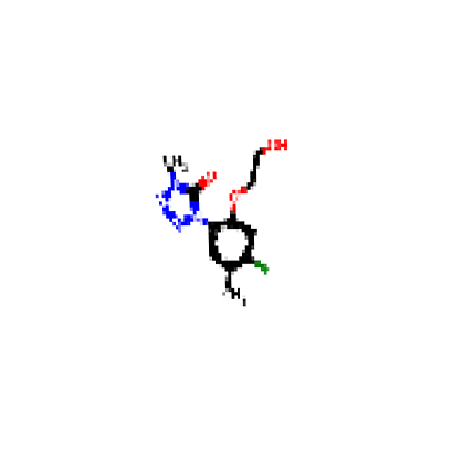 Cc1cc(-n2nnn(C)c2=O)c(OCCO)cc1F